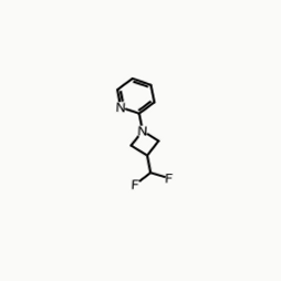 FC(F)C1CN(c2ccccn2)C1